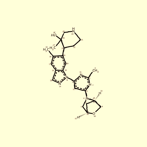 Cc1nc(N2C[C@H]3C[C@@H]2CO3)cc(-n2ncc3cc(C)c(C4CCNCC4(C)O)cc32)n1